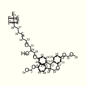 COCOc1ccc(C2(C)COc3cc(OCOC)ccc3C2c2ccc(OC[C@@H](O)COCCSCCCC(F)(F)C(F)(F)F)cc2)cc1